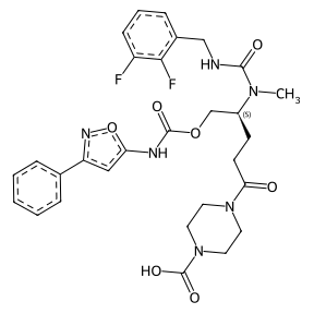 CN(C(=O)NCc1cccc(F)c1F)[C@@H](CCC(=O)N1CCN(C(=O)O)CC1)COC(=O)Nc1cc(-c2ccccc2)no1